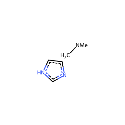 CNC.c1c[nH]cn1